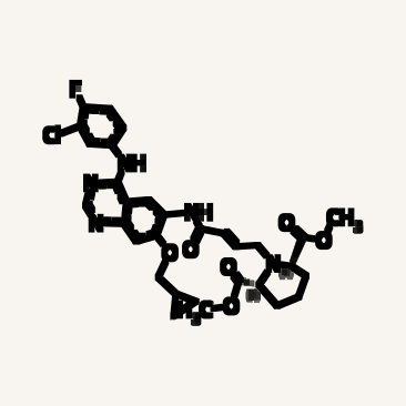 COC(=O)[C@H]1CCC[C@H](C(=O)OC)N1CC=CC(=O)Nc1cc2c(Nc3ccc(F)c(Cl)c3)ncnc2cc1OCC1CC1